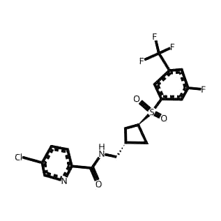 O=C(NC[C@H]1C[C@H](S(=O)(=O)c2cc(F)cc(C(F)(F)F)c2)C1)c1ccc(Cl)cn1